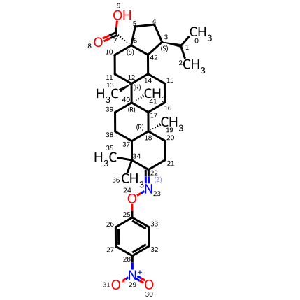 CC(C)[C@@H]1CC[C@]2(C(=O)O)CC[C@]3(C)C(CCC4[C@@]5(C)CC/C(=N/Oc6ccc([N+](=O)[O-])cc6)C(C)(C)C5CC[C@]43C)C12